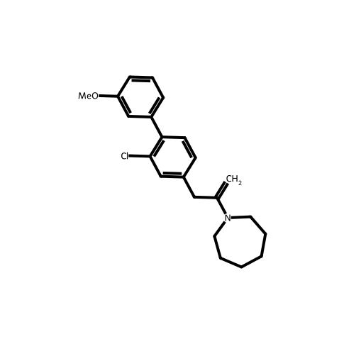 C=C(Cc1ccc(-c2cccc(OC)c2)c(Cl)c1)N1CCCCCC1